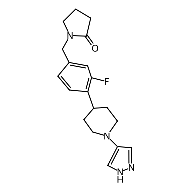 O=C1CCCN1Cc1ccc(C2CCN(c3cn[nH]c3)CC2)c(F)c1